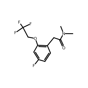 CN(C)C(=O)Cc1ccc(F)cc1OCC(F)(F)F